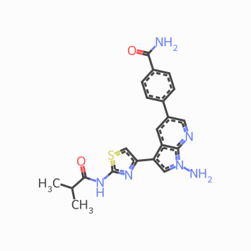 CC(C)C(=O)Nc1nc(-c2cn(N)c3ncc(-c4ccc(C(N)=O)cc4)cc23)cs1